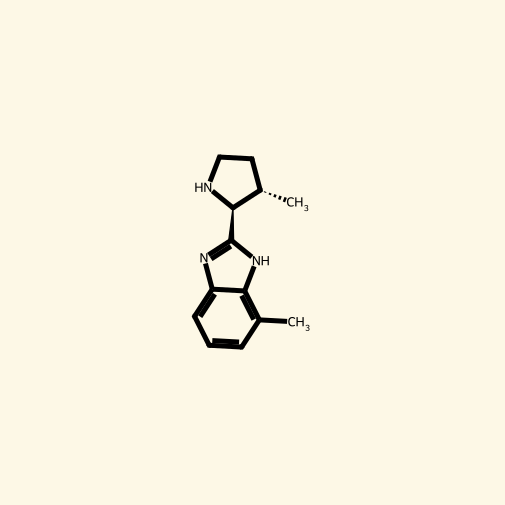 Cc1cccc2nc([C@H]3NCC[C@@H]3C)[nH]c12